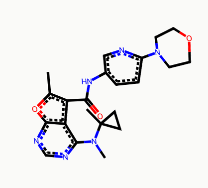 Cc1oc2ncnc(N(C)C3(C)CC3)c2c1C(=O)Nc1ccc(N2CCOCC2)nc1